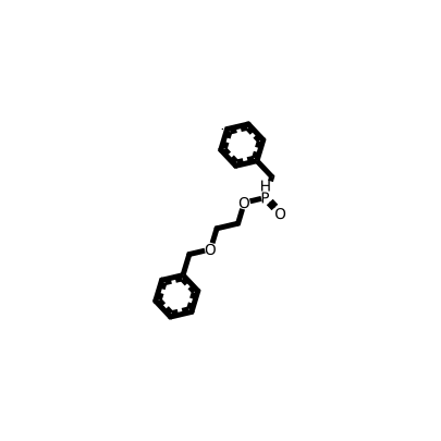 O=[PH](Cc1cc[c]cc1)OCCOCc1ccccc1